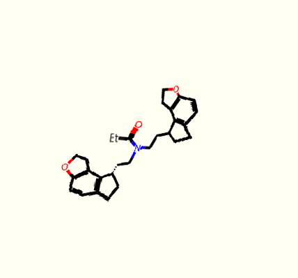 CCC(=O)N(CCC1CCc2ccc3c(c21)CCO3)CC[C@@H]1CCc2ccc3c(c21)CCO3